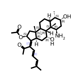 CC(=O)O[C@H]1C[C@@]2(C)[C@@H](C[C@@H](O)[C@H]3[C@@]4(C)[C@H](N)C[C@@H](O)[C@@H](C)[C@@H]4CC[C@@]32C)/C1=C(\C=C\C=C(C)C)C(C)=O